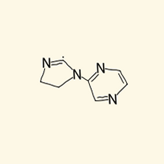 [C]1=NCCN1c1cnccn1